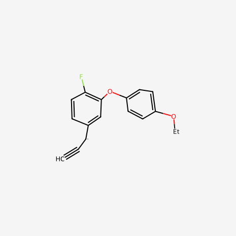 C#C[CH]c1ccc(F)c(Oc2ccc(OCC)cc2)c1